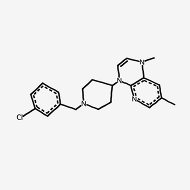 Cc1cnc2c(c1)N(C)C=CN2C1CCN(Cc2cccc(Cl)c2)CC1